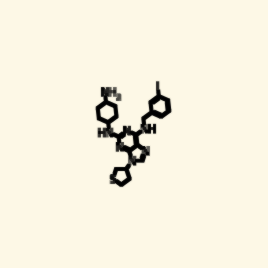 NC1CCC(Nc2nc(NCc3cccc(I)c3)c3ncn(C4CCSC4)c3n2)CC1